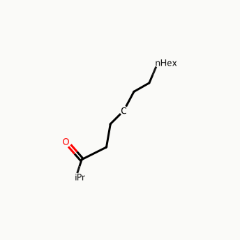 CCCCCCCCCCCC(=O)C(C)C